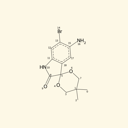 CC1(C)COC2(OC1)C(=O)Nc1cc(Br)c(N)cc12